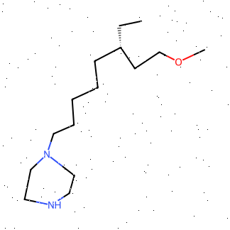 CC[C@@H](CCCCCN1CCNCC1)CCOC